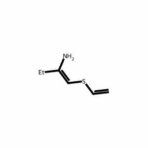 C=CS/C=C(\N)CC